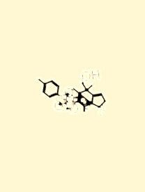 COC1(OC)C(=O)C23C(=CC[C@@H]2C)C(C)(CO)C1(C)C(OS(=O)(=O)c1ccc(C)cc1)=C3C